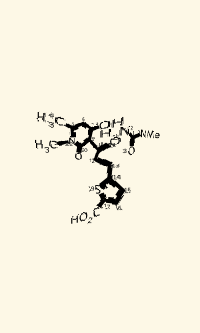 CNC(N)=O.Cc1cc(O)c(C(=O)C=Cc2ccc(C(=O)O)s2)c(=O)n1C